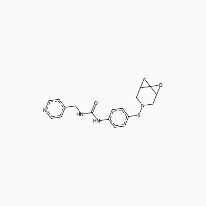 O=C(NCc1ccncc1)Nc1ccc(SN2CC3CC34OC4C2)cc1